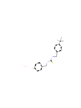 CC(C)(C)c1ccc(CNC(=S)NCc2ccc(SOON)cc2)cc1